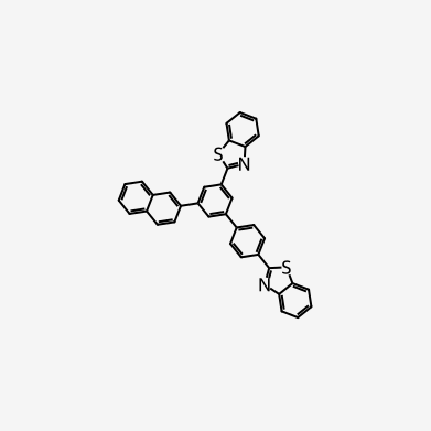 c1ccc2cc(-c3cc(-c4ccc(-c5nc6ccccc6s5)cc4)cc(-c4nc5ccccc5s4)c3)ccc2c1